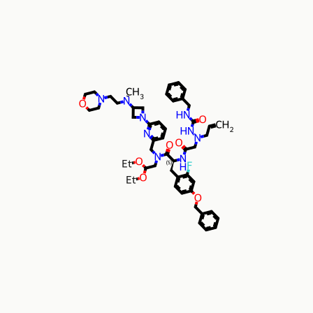 C=CCN(CC(=O)N[C@@H](Cc1ccc(OCc2ccccc2)cc1F)C(=O)N(Cc1cccc(N2CC(N(C)CCN3CCOCC3)C2)n1)CC(OCC)OCC)NC(=O)NCc1ccccc1